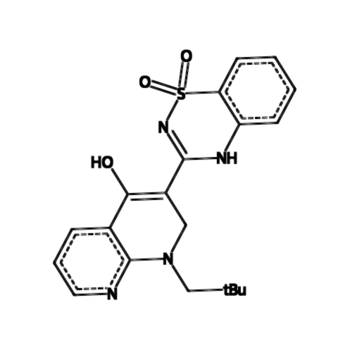 CC(C)(C)CN1CC(C2=NS(=O)(=O)c3ccccc3N2)=C(O)c2cccnc21